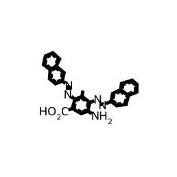 Cc1c(N=Nc2ccc3ccccc3c2)c(N)cc(C(=O)O)c1N=Nc1ccc2ccccc2c1